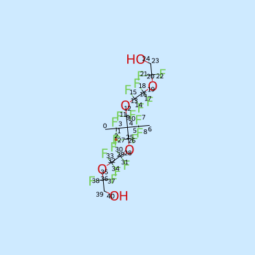 CC(F)(F)C(C(C)(F)F)(C(F)(F)OC(F)(F)C(F)(F)OC(F)(F)CO)C(F)(F)OC(F)(F)C(F)(F)OC(F)(F)CO